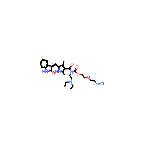 CCN(CC)CCN(C(=O)OCCOCCNCl)C(=O)c1c(C)[nH]c(/C=C2\C(=O)Nc3ccc(F)cc32)c1C